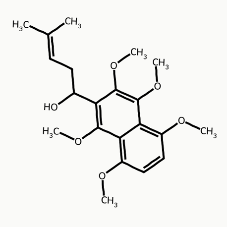 COc1c(C(O)CC=C(C)C)c(OC)c2c(OC)ccc(OC)c2c1OC